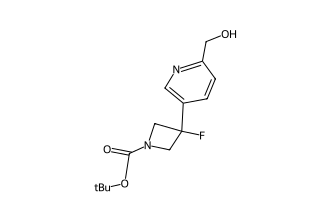 CC(C)(C)OC(=O)N1CC(F)(c2ccc(CO)nc2)C1